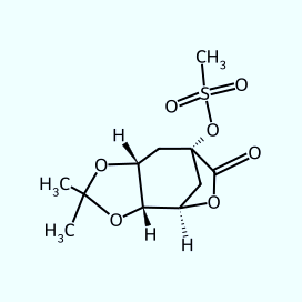 CC1(C)O[C@H]2[C@H]3C[C@@](OS(C)(=O)=O)(C[C@H]2O1)C(=O)O3